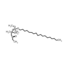 CCCCCCCCCCCCCCCCCCO[Si](C)(OC)O[Si](C)(C)C[Si](=O)CC